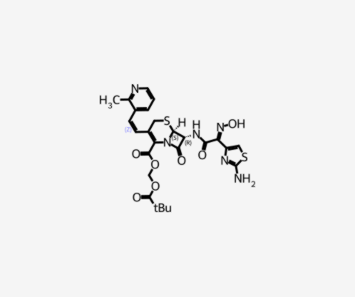 Cc1ncccc1/C=C\C1=C(C(=O)OCOC(=O)C(C)(C)C)N2C(=O)[C@@H](NC(=O)C(=NO)c3csc(N)n3)[C@@H]2SC1